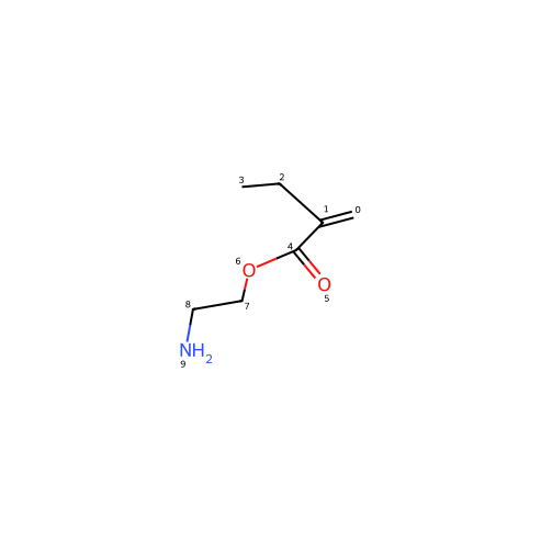 C=C(CC)C(=O)OCCN